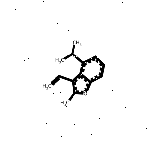 C=Cc1c(C)oc2cccc(C(C)C)c12